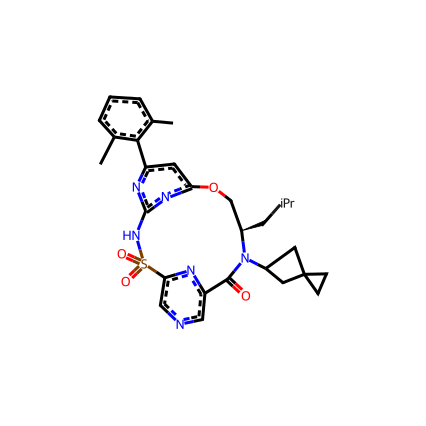 Cc1cccc(C)c1-c1cc2nc(n1)NS(=O)(=O)c1cncc(n1)C(=O)N(C1CC3(CC3)C1)[C@H](CC(C)C)CO2